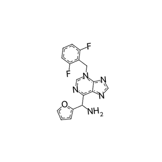 NC(c1ccco1)c1ncn(Cc2c(F)cccc2F)c2ncnc1-2